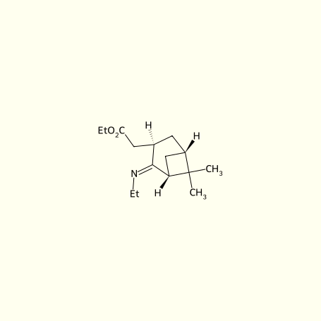 CC/N=C1/[C@@H](CC(=O)OCC)C[C@H]2C[C@@H]1C2(C)C